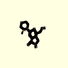 C[C@@H]1COCCN1c1cc2c(c(CO)n1)CNC2=O